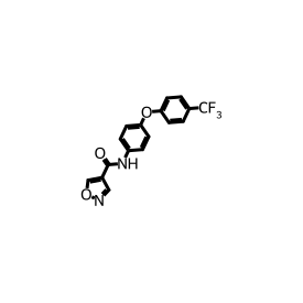 O=C(Nc1ccc(Oc2ccc(C(F)(F)F)cc2)cc1)c1cnoc1